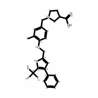 Cc1cc(CN2CCC(C(=O)O)C2)ccc1OCc1cc(-c2ccccc2)c(C(F)(F)F)s1